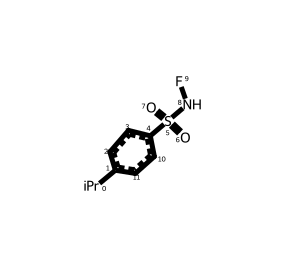 CC(C)c1ccc(S(=O)(=O)NF)cc1